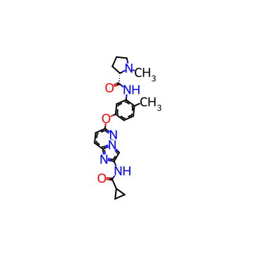 Cc1ccc(Oc2ccc3nc(NC(=O)C4CC4)cn3n2)cc1NC(=O)[C@@H]1CCCN1C